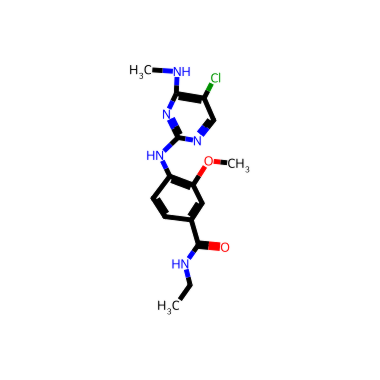 CCNC(=O)c1ccc(Nc2ncc(Cl)c(NC)n2)c(OC)c1